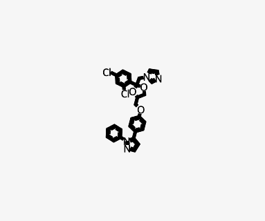 Clc1ccc(C2(Cn3ccnc3)OCC(COc3ccc(-c4ccnn4-c4ccccc4)cc3)O2)c(Cl)c1